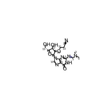 CN(C)/C=N/c1nc2c(ncn2[C@@H]2O[C@H](CO)C(O)[C@@H]2OCCC#N)c(=O)[nH]1